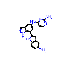 Nc1ccc2[nH]c(-c3cc(Nc4ccnc(N)n4)cc4cn[nH]c34)cc2c1